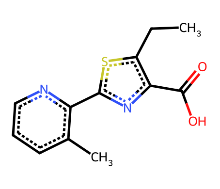 CCc1sc(-c2ncccc2C)nc1C(=O)O